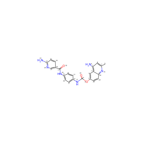 Cc1cc(N)c2cc(OC(=O)Nc3ccc(NC(=O)c4ccc(N)nc4)cc3)ccc2n1